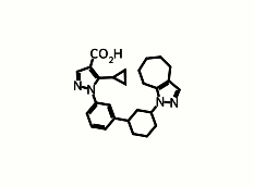 O=C(O)c1cnn(-c2cccc(C3CCCC(n4ncc5c4CCCCC5)C3)c2)c1C1CC1